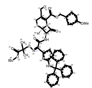 COc1ccc(COC(=O)C2=C(CCl)CS[C@@H]3[C@H](NC(=O)/C(=N\OC(C)(C)C(=O)OC(C)(C)C)c4csc(NC(c5ccccc5)(c5ccccc5)c5ccccc5)n4)C(=O)N23)cc1